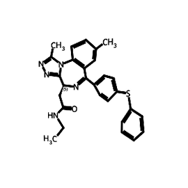 CCNC(=O)C[C@@H]1N=C(c2ccc(Sc3ccccc3)cc2)c2cc(C)ccc2-n2c(C)nnc21